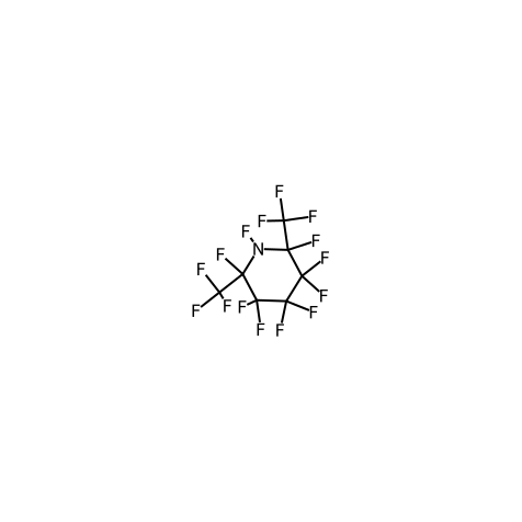 FN1C(F)(C(F)(F)F)C(F)(F)C(F)(F)C(F)(F)C1(F)C(F)(F)F